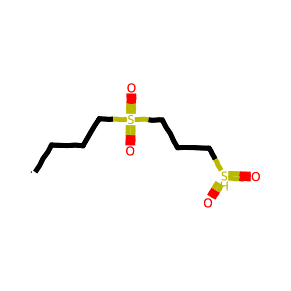 [CH2]CCCS(=O)(=O)CCC[SH](=O)=O